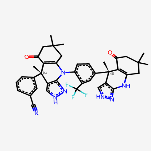 CC1(C)CC(=O)C2=C(C1)Nc1n[nH]cc1[C@]2(C)c1ccc(N2C3=C(C(=O)CC(C)(C)C3)[C@@](C)(c3cccc(C#N)c3)c3c[nH]nc32)c(C(F)(F)F)c1